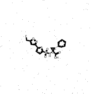 O=C(O)[C@]1(NS(=O)(=O)c2ccc(-c3cc(CF)on3)s2)C[C@@H]1c1ccccc1